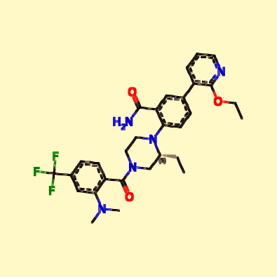 CCOc1ncccc1-c1ccc(N2CCN(C(=O)c3ccc(C(F)(F)F)cc3N(C)C)C[C@H]2CC)c(C(N)=O)c1